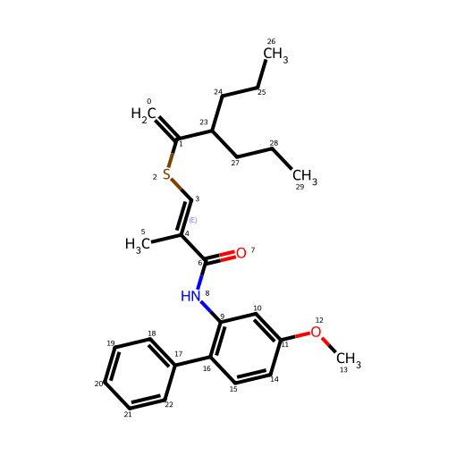 C=C(S/C=C(\C)C(=O)Nc1cc(OC)ccc1-c1ccccc1)C(CCC)CCC